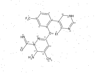 CCC1=C(c2ccc(C(F)(F)F)cc2OC2=NN(C(=N)Cl)C(N)C(C)=C2)CNC=N1